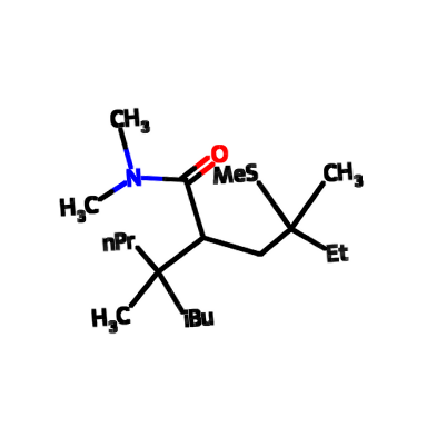 CCCC(C)(C(C)CC)C(CC(C)(CC)SC)C(=O)N(C)C